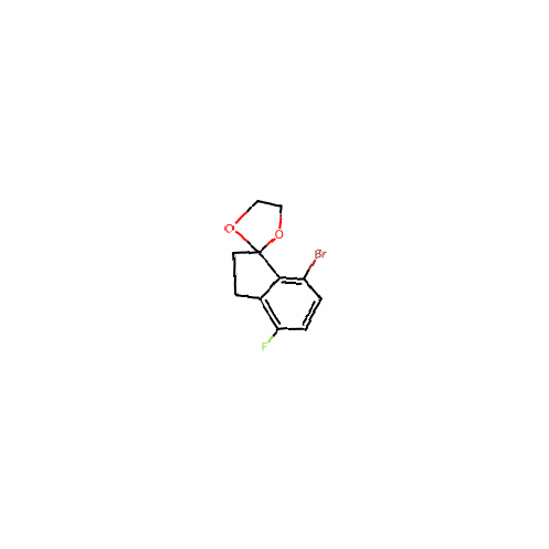 Fc1ccc(Br)c2c1CCC21OCCO1